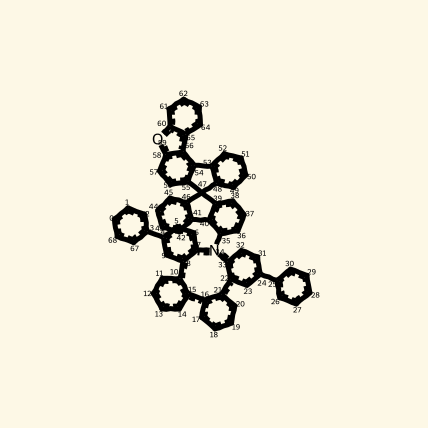 c1ccc(-c2ccc3c(c2)c2ccccc2c2ccccc2c2cc(-c4ccccc4)ccc2n3-c2cccc3c2-c2ccccc2C32c3ccccc3-c3c2ccc2oc4ccccc4c32)cc1